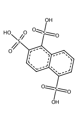 O=S(=O)(O)c1ccc2c(S(=O)(=O)O)cccc2c1S(=O)(=O)O